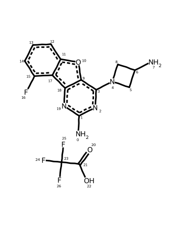 Nc1nc(N2CC(N)C2)c2oc3cccc(F)c3c2n1.O=C(O)C(F)(F)F